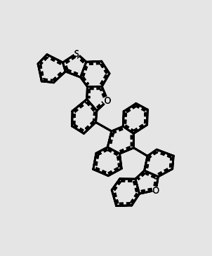 c1ccc2c(c1)oc1cccc(-c3c4ccccc4c(-c4cccc5c4oc4ccc6sc7ccccc7c6c45)c4ccccc34)c12